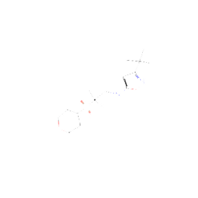 CC(C)(C)c1cc(NCC(C)(C)S(=O)(=O)C2CCOCC2)on1